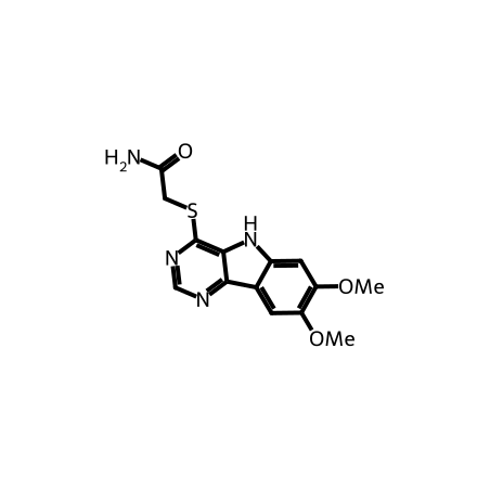 COc1cc2[nH]c3c(SCC(N)=O)ncnc3c2cc1OC